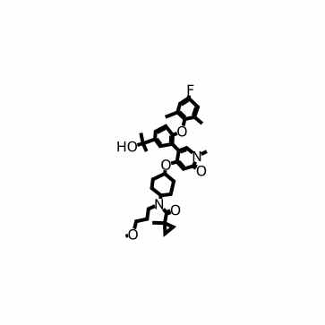 COCCCN(C(=O)C1(C)CC1)C1CCC(Oc2cc(=O)n(C)cc2-c2cc(C(C)(C)O)ccc2Oc2c(C)cc(F)cc2C)CC1